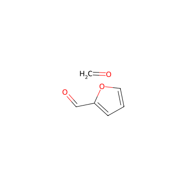 C=O.O=Cc1ccco1